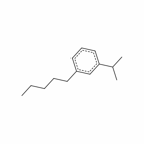 CCCCCc1[c]ccc(C(C)C)c1